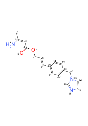 CC(N)=CC(=O)OCC=Cc1ccc(Cn2ccnc2)cc1